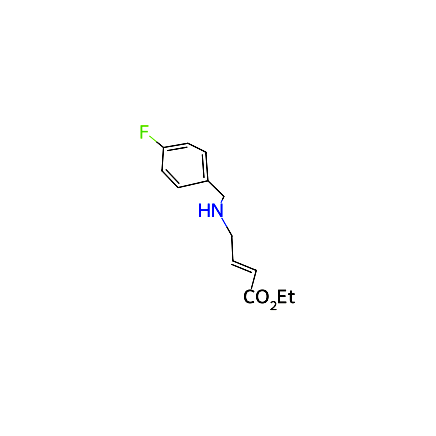 CCOC(=O)C=CCNCc1ccc(F)cc1